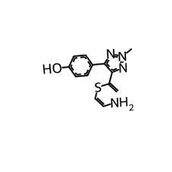 C=C(S/C=C\N)c1nn(C)nc1-c1ccc(O)cc1